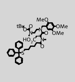 COc1cc(OC)c(OC)cc1CN(CCN(C)C(=O)OC(C)(C)C)C(=O)[C@H](CC(=O)O)N(C)C(=O)CCCCCSC(c1ccccc1)(c1ccccc1)c1ccccc1